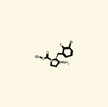 CC(C)(C)OC(=O)N1CC[C@H](N)[C@@H]1Cc1cccc(Br)c1F